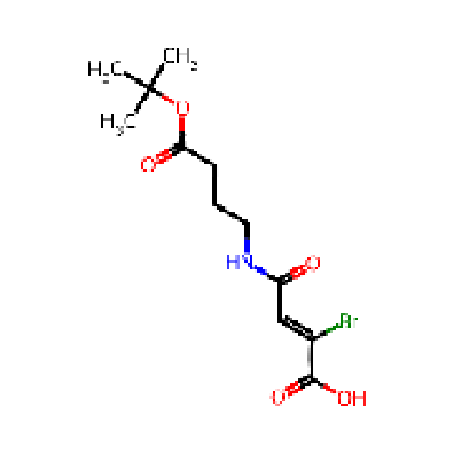 CC(C)(C)OC(=O)CCCNC(=O)C=C(Br)C(=O)O